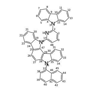 c1cc(-n2c3ccccc3c3ccccc32)nc(-n2c3ccccc3c3ccc4c(c5ccccc5n4-c4cccc5ccccc45)c32)c1